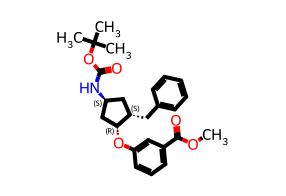 COC(=O)c1cccc(O[C@@H]2C[C@@H](NC(=O)OC(C)(C)C)C[C@@H]2Cc2ccccc2)c1